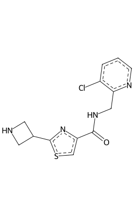 O=C(NCc1ncccc1Cl)c1csc(C2CNC2)n1